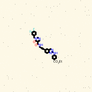 CCOC(=O)c1ccc(Nc2ncc3cc(C#CCNC(=O)c4cncn(Cc5ccc(F)c(F)c5)c4=O)ccc3n2)cc1